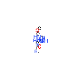 CN(CC=CC(=O)N1CC[C@@H](Nc2n[nH]c3nccc(Nc4ccc(Oc5ccccc5)cc4)c23)C1)C1CC1